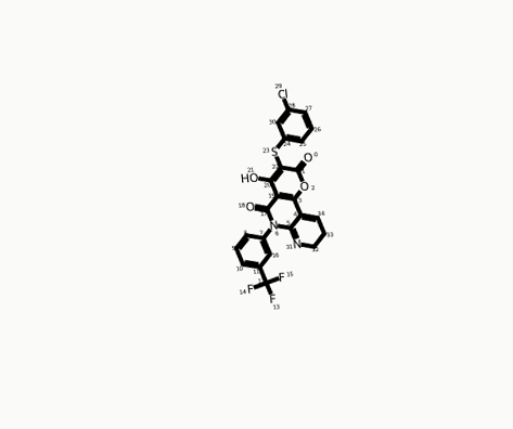 O=c1oc2c3c(n(-c4cccc(C(F)(F)F)c4)c(=O)c2c(O)c1Sc1cccc(Cl)c1)=NCCC=3